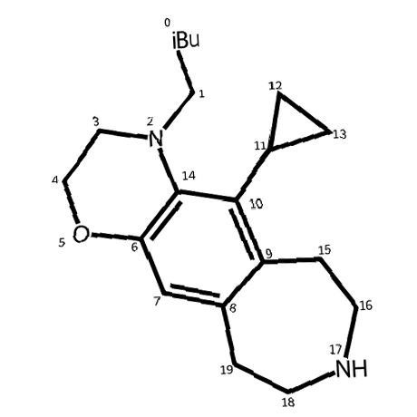 CCC(C)CN1CCOc2cc3c(c(C4CC4)c21)CCNCC3